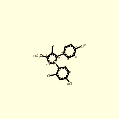 Cc1c(C(=O)O)nn(-c2ccc(Cl)cc2Cl)c1-c1ccc(Cl)cc1